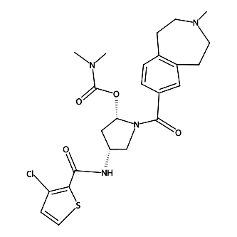 CN1CCc2ccc(C(=O)N3C[C@H](NC(=O)c4sccc4Cl)C[C@@H]3OC(=O)N(C)C)cc2CC1